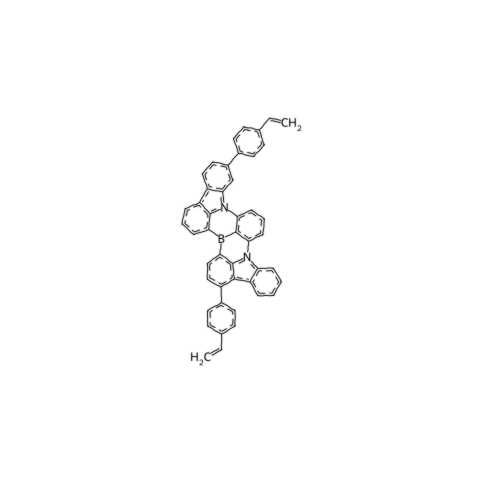 C=Cc1ccc(-c2ccc3c4cccc5c4n(c3c2)-c2cccc3c2B5c2ccc(-c4ccc(C=C)cc4)c4c5ccccc5n-3c24)cc1